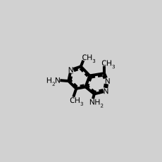 Cc1nnc(N)c2c(C)c(N)nc(C)c12